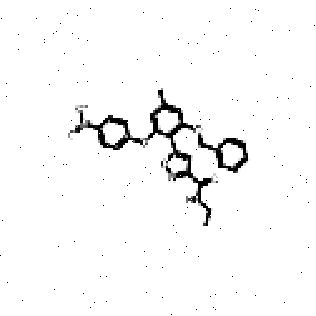 CCNC(=O)c1cc(-c2c(OCc3ccccc3)cc(C)cc2Oc2ccc([N+](=O)[O-])cc2)on1